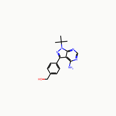 CC(C)(C)n1nc(-c2ccc(CO)cc2)c2c(N)ncnc21